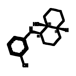 N#Cc1cccc(N[C@@H]2CCC[C@H]3CCCC[C@]32O)c1